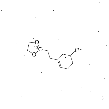 CC(C)C1CCC=C(CC[13CH]2OCCO2)C1